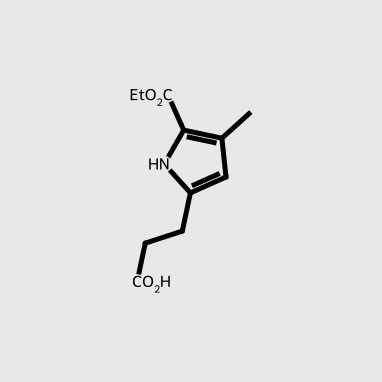 CCOC(=O)c1[nH]c(CCC(=O)O)cc1C